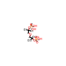 CCC(CC)(COCC(CC)(CC)OP(=O)(O)O)OP(=O)(O)O